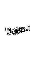 CCOC(C1C[C@@H](C)[C@H]2C(O1)[C@H](O)[C@@]1(C)C3CC[C@H]4C(C)(C)C(OC(=O)NC)CCC45CC35CCC21C)C(C)(C)O